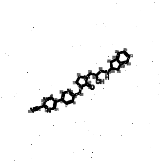 N#Cc1ncc(-c2ccc(CN3CCN(CC(O)CNC4Cc5ccccc5C4)C3=O)nc2)cn1